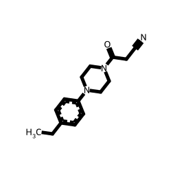 CCc1ccc(N2CCN(C(=O)CC#N)CC2)cc1